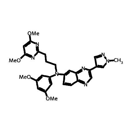 COc1cc(OC)cc(N(CCCc2nc(OC)cc(OC)n2)c2ccc3ncc(-c4cnn(C)c4)nc3c2)c1